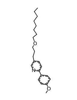 CCCCCCCCOCCCc1ccc(-c2ccc(OC)cc2)nc1